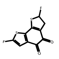 O=C1C(=O)c2cc(F)sc2C2=C1CC(F)S2